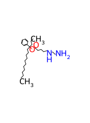 CCCCCCCCCCCCC(CCC)(OC(=O)CCCCNCCN)c1ccccc1